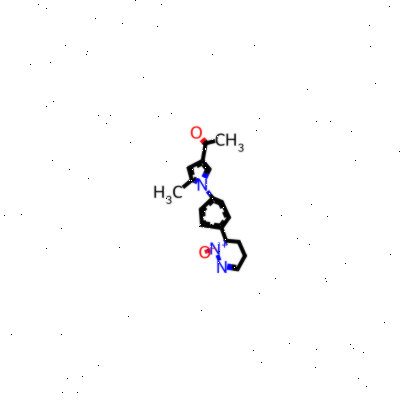 CC(=O)c1cc(C)n(-c2ccc(C3=[N+]([O-])N=CCC3)cc2)c1